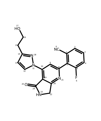 N#Cc1cccc(F)c1-c1cc(-n2ccc(CCO)n2)c2c(n1)CNC2=O